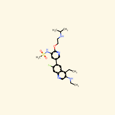 CCNc1cnc2cc(F)c(-c3cnc(OCCNC(C)C)c(NS(C)(=O)=O)c3)cc2c1CC